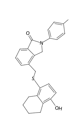 Cc1ccc(N2Cc3c(CSc4ccc(O)c5c4CCCC5)cccc3C2=O)cc1